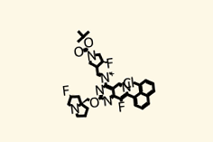 C/[N+](=C\C1CN(C(=O)OC(C)(C)C)C[C@H]1F)c1nc(OC[C@@]23CCCN2C[C@H](F)C3)nc2c(F)c(-c3cccc4cccc(Cl)c34)ncc12